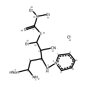 CCCCCCCCCC(N)CC(N[n+]1ccccc1)C(C#N)C(CC)SC(=S)N(CC)CC.[Cl-]